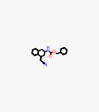 N#C/C=C1\CC(NC(=O)OCc2ccccc2)Cc2ccccc21